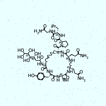 CC[C@H](C)[C@H]1NC(=O)[C@H](Cc2ccc(O)cc2)NC(=O)[C@H](NC(O)C[C@@H](O)[C@H](O)[C@H](O)C(O)O)CSSC[C@H](C(=O)N2CCC[C@@H]2C(=O)N[C@@H](CC(C)C)C(=O)NCC(N)=O)NC(=O)[C@@H](CCC(N)=O)NC[C@@H](CCC(N)=O)NC1=O